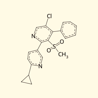 CS(=O)(=O)c1c(-c2ccc(C3CC3)nc2)ncc(Cl)c1-c1ccccc1